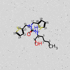 CCCCC(CO)NC(=O)N(Cc1cccs1)Cc1cccs1